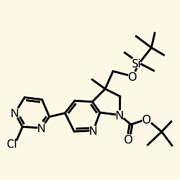 CC(C)(C)OC(=O)N1CC(C)(CO[Si](C)(C)C(C)(C)C)c2cc(-c3ccnc(Cl)n3)cnc21